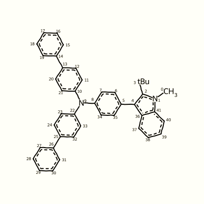 Cn1c(C(C)(C)C)c(-c2ccc(N(c3ccc(-c4ccccc4)cc3)c3ccc(-c4ccccc4)cc3)cc2)c2ccccc21